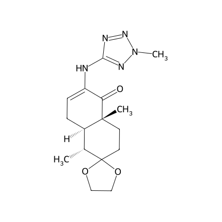 C[C@@H]1[C@H]2CC=C(Nc3nnn(C)n3)C(=O)[C@]2(C)CCC12OCCO2